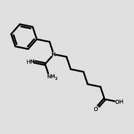 N=C(N)N(CCCCCC(=O)O)Cc1ccccc1